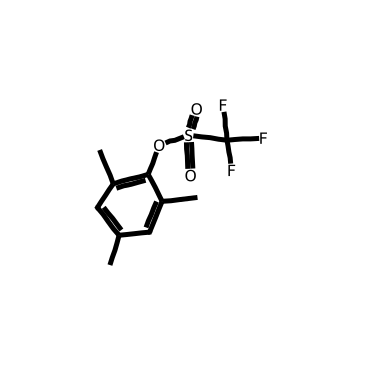 Cc1cc(C)c(OS(=O)(=O)C(F)(F)F)c(C)c1